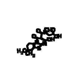 CN(CC(=O)O)C(=O)c1c(O)nc2sc3c(n2c1=O)CCC(C)(C)C3